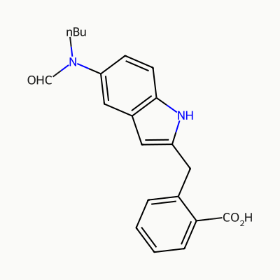 CCCCN(C=O)c1ccc2[nH]c(Cc3ccccc3C(=O)O)cc2c1